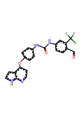 O=Cc1ccc(NC(=O)Nc2ccc(Oc3ccnc4[nH]ccc34)cc2)cc1C(F)(F)F